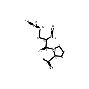 CC(=O)C1CCCN1C(=O)C(CN=[N+]=[N-])N=O